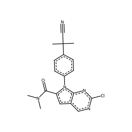 CN(C)C(=O)c1cc2cnc(Cl)nc2n1-c1ccc(C(C)(C)C#N)cc1